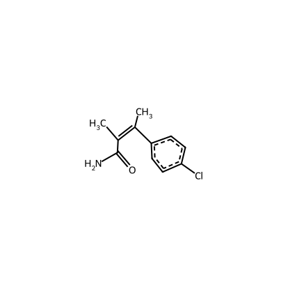 CC(C(N)=O)=C(C)c1ccc(Cl)cc1